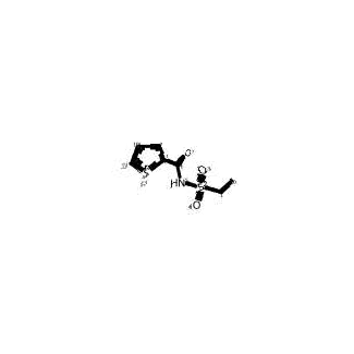 CCS(=O)(=O)NC(=O)c1cccs1